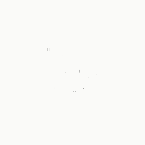 COC(=O)c1nc(F)c[nH]c1=O